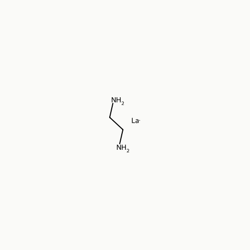 NCCN.[La]